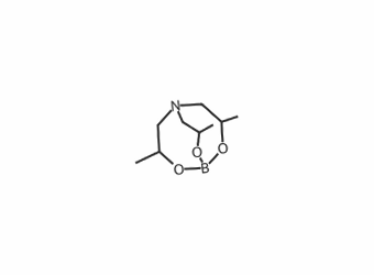 CC1CN2CC(C)OB(O1)OC(C)C2